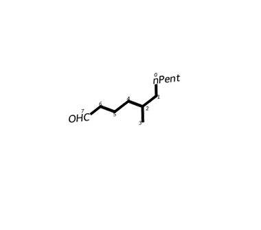 CCCCCCC(C)CCCC=O